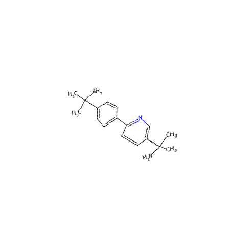 BC(C)(C)c1ccc(-c2ccc(C(B)(C)C)cn2)cc1